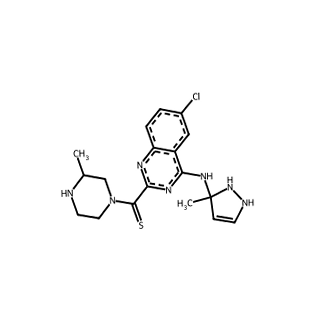 CC1CN(C(=S)c2nc(NC3(C)C=CNN3)c3cc(Cl)ccc3n2)CCN1